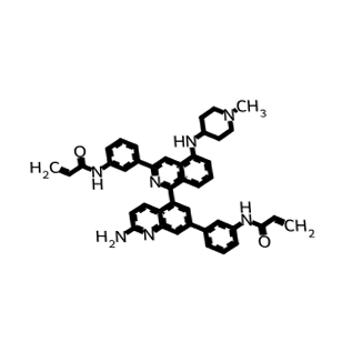 C=CC(=O)Nc1cccc(-c2cc(-c3nc(-c4cccc(NC(=O)C=C)c4)cc4c(NC5CCN(C)CC5)cccc34)c3ccc(N)nc3c2)c1